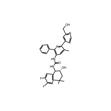 Cc1cc(NC(=O)NC2c3cc(F)c(F)cc3C(C)(C)C[C@H]2O)c(-c2ccccc2)nc1-c1ccnc(CO)c1